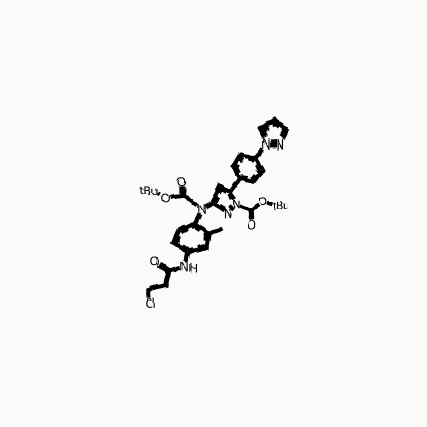 Cc1cc(NC(=O)CCCl)ccc1N(C(=O)OC(C)(C)C)c1cc(-c2ccc(-n3cccn3)cc2)n(C(=O)OC(C)(C)C)n1